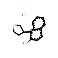 Cl.Oc1ccc2ccccc2c1C1CCSC1